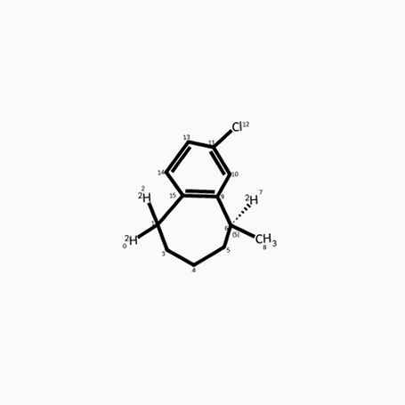 [2H]C1([2H])CCC[C@]([2H])(C)c2cc(Cl)ccc21